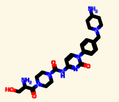 NC1CCN(Cc2ccc(-n3ccc(NC(=O)N4CCN(C(=O)C(N)CO)CC4)nc3=O)cc2)CC1